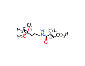 CCO[Si](C)(CCCNC(=O)/C(C)=C/C(=O)O)OCC